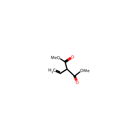 C=CC(C(=O)OC)C(=O)OC